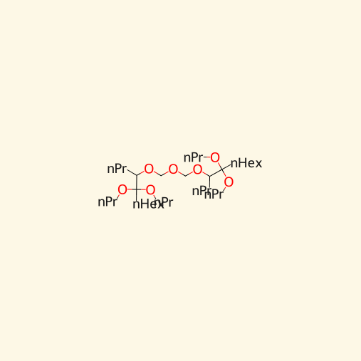 CCCCCCC(OCCC)(OCCC)C(CCC)OCOCOC(CCC)C(CCCCCC)(OCCC)OCCC